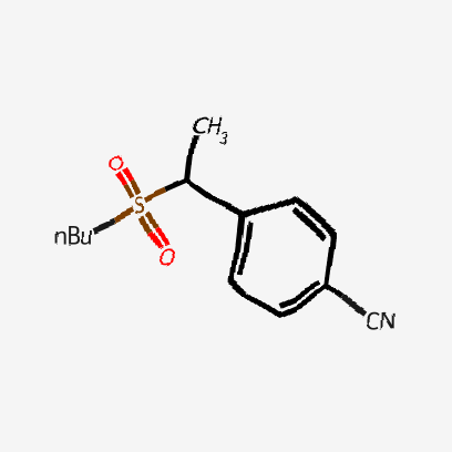 CC[CH]CS(=O)(=O)C(C)c1ccc(C#N)cc1